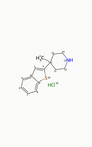 CC1(c2cc3ccccc3s2)CCNCC1.Cl